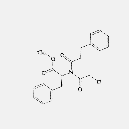 CC(C)(C)OC(=O)[C@H](Cc1ccccc1)N(C(=O)CCl)C(=O)CCc1ccccc1